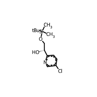 CC(C)(C)[Si](C)(C)OC[C@@H](O)c1ccc(Cl)cn1